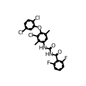 Cc1cc(NC(=O)NC(=O)c2c(F)cccc2F)c(C)c(Cl)c1Oc1cc(Cl)ccc1Cl